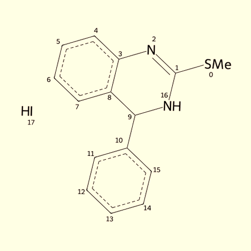 CSC1=Nc2ccccc2C(c2ccccc2)N1.I